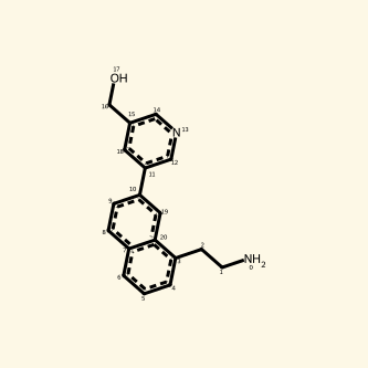 NCCc1cccc2ccc(-c3cncc(CO)c3)cc12